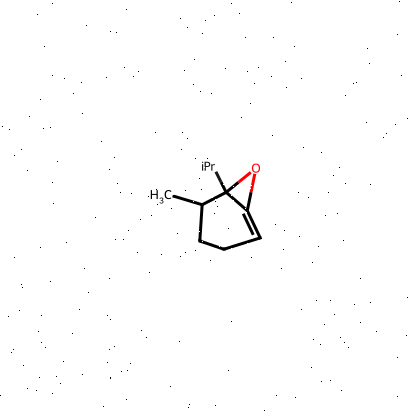 CC(C)C12OC1=CCCC2C